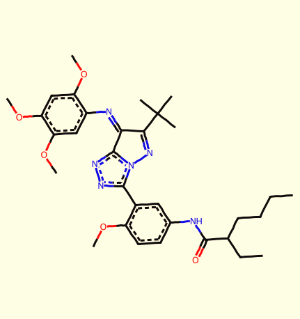 CCCCC(CC)C(=O)Nc1ccc(OC)c(-c2nnc3n2N=C(C(C)(C)C)/C3=N/c2cc(OC)c(OC)cc2OC)c1